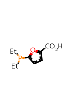 CCP(CC)c1ccc(C(=O)O)o1